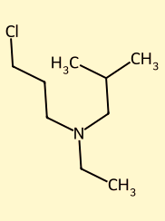 CCN(CCCCl)CC(C)C